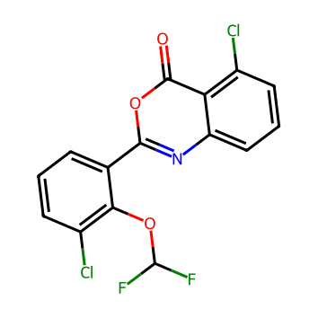 O=c1oc(-c2cccc(Cl)c2OC(F)F)nc2cccc(Cl)c12